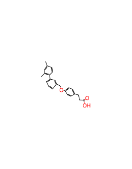 Cc1ccc(-c2cccc(COc3ccc(CCC(=O)O)cc3)c2)c(C)c1